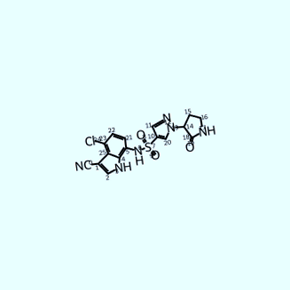 N#Cc1c[nH]c2c(NS(=O)(=O)c3cnn(C4CCNC4=O)c3)ccc(Cl)c12